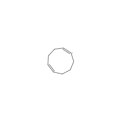 [C]1=CCCC=CCCC1